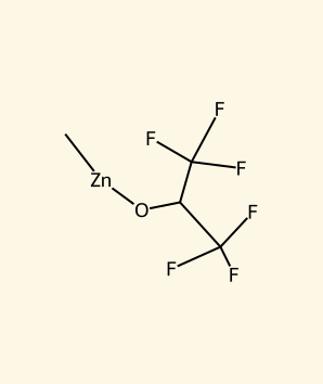 [CH3][Zn][O]C(C(F)(F)F)C(F)(F)F